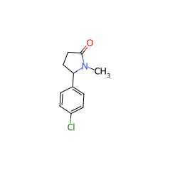 CN1C(=O)CCC1c1ccc(Cl)cc1